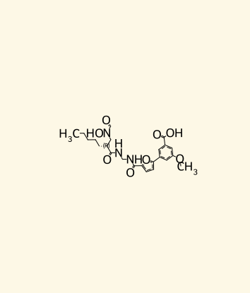 CCCCC[C@H](CN(O)C=O)C(=O)NCNC(=O)c1ccc(-c2cc(OC)cc(C(=O)O)c2)o1